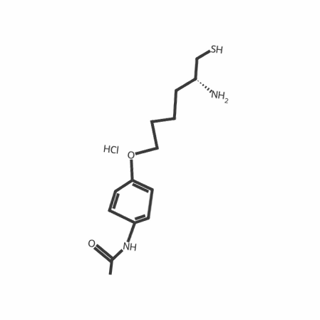 CC(=O)Nc1ccc(OCCCC[C@@H](N)CS)cc1.Cl